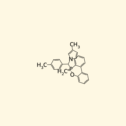 C=P1(C(c2ccc(C)cc2)n2ccc(C)c2)Oc2ccccc2-c2ccccc21